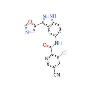 N#Cc1cnc(C(=O)Nc2ccc3[nH]nc(-c4cnco4)c3c2)c(Cl)c1